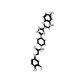 O=C(COc1ccc(Cl)c(F)c1)N[C@H]1CC[C@H](c2nnc([C@@H]3CNc4cc(Cl)ccc4O3)o2)CC1